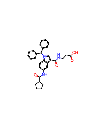 O=C(O)CCNC(=O)c1cn(C(c2ccccc2)c2ccccc2)c2ccc(NC(=O)C3CCCC3)cc12